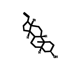 C=CC1CC[C@H]2C3CC[C@H]4C[C@H](O)CCC4(C)[C@H]3CCC12CC